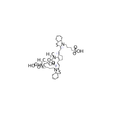 CN(C(=O)OC(C)(C)C)C1=C(/C=C/c2sc3ccccc3[n+]2CCCCSOOO)CC/C1=C\C=C1/Sc2ccccc2N1CCCCS(=O)(=O)O